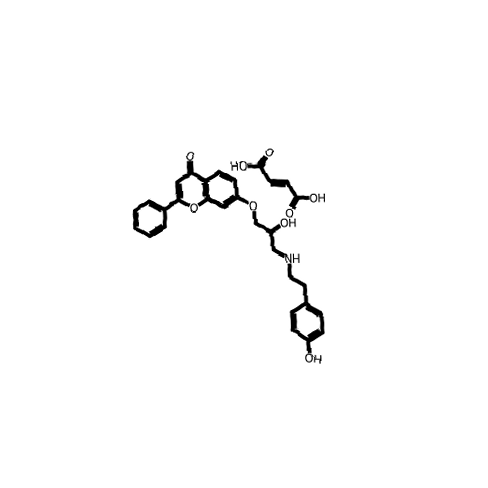 O=C(O)C=CC(=O)O.O=c1cc(-c2ccccc2)oc2cc(OCC(O)CNCCc3ccc(O)cc3)ccc12